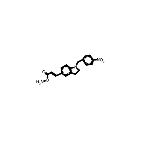 NOC(=O)/C=C/c1ccc2c(c1)CCN2Cc1ccc([N+](=O)[O-])cc1